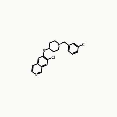 Clc1cccc(CN2CCC(Sc3cc4ccncc4cc3Cl)CC2)c1